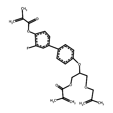 C=C(C)COCC(COC(=O)C(=C)C)Oc1ccc(-c2ccc(OC(=O)C(=C)C)c(F)c2)cc1